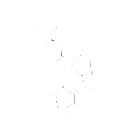 O=C(O)C(=O)CC(=O)c1cccc(Sc2ccccc2)c1